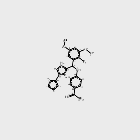 CCOc1cc(OC(C)C)c(F)c(C(Nc2ccc(C(=N)N)cc2)c2nc(-c3ccco3)c[nH]2)c1